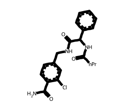 CCCC(=O)NC(C(=O)NCc1ccc(C(N)=O)c(Cl)c1)c1ccccc1